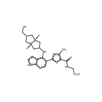 Cc1nc(-c2cnc3[nH]ccc3c2NC2C[C@@H]3CN(CC#N)C[C@@H]3C2)sc1C(=O)NCC(=O)O